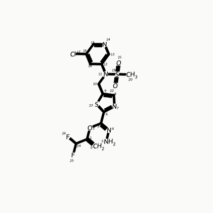 C=C(O/C(=N\N)c1ncc(CN(c2cncc(Cl)c2)S(C)(=O)=O)s1)C(F)F